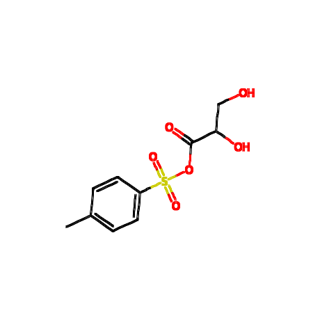 Cc1ccc(S(=O)(=O)OC(=O)C(O)CO)cc1